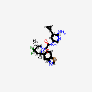 C[C@@H]1CN(C(=O)C(=O)Nc2cnc(N)c(C3CC3)c2)[C@](C)(c2ccc3scnc3c2)CC1(F)F